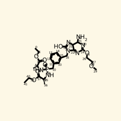 CCOC(=O)[C@H](C)NP(=O)(Cc1cccc(CN2C(O)=NC3C2=NC(OCCOC)=NC3N)c1)N[C@@H](C)C(=O)OCC